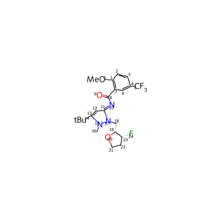 COc1ccc(C(F)(F)F)cc1C(=O)/N=c1\cc(C(C)(C)C)n(C)n1C[C@H]1OCC[C@H]1F